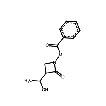 CC(O)C1CN(OC(=O)c2ccccc2)C1=O